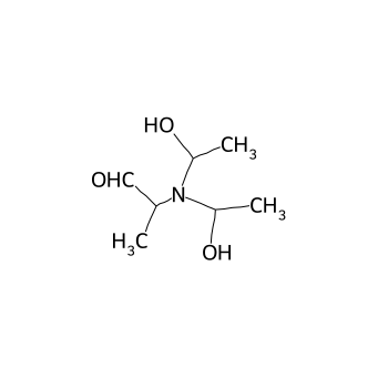 CC(O)N(C(C)O)C(C)C=O